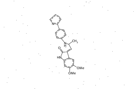 COc1cc2c(cc1OC)C(=CC(C)Nc1ccc(-c3ccccn3)cc1)C(=O)N2